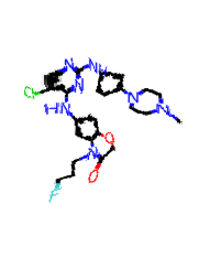 CN1CCN(c2ccc(Nc3ncc(Cl)c(Nc4ccc5c(c4)N(CCCF)C(=O)CO5)n3)cc2)CC1